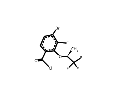 C[C@H](Oc1c(C(=O)Cl)ccc(Br)c1F)C(F)(F)F